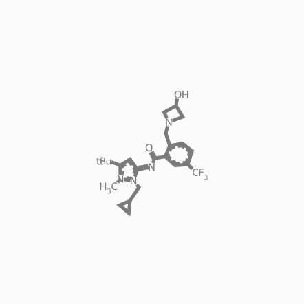 Cn1c(C(C)(C)C)c/c(=N\C(=O)c2cc(C(F)(F)F)ccc2CN2CC(O)C2)n1CC1CC1